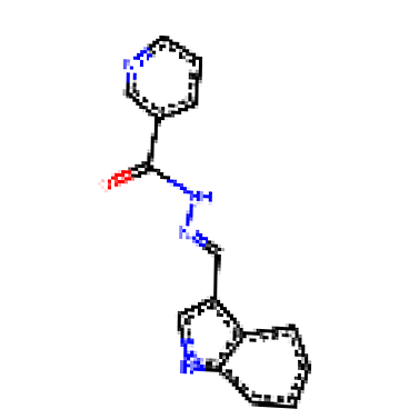 O=C(NN=Cc1c[nH]c2ccccc12)c1cccnc1